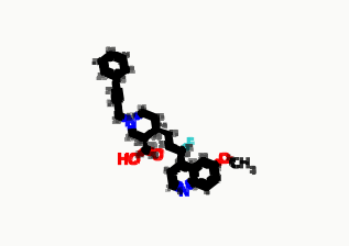 COc1ccc2nccc(C(F)CC[C@@H]3CCN(CC#Cc4ccccc4)C[C@@H]3C(=O)O)c2c1